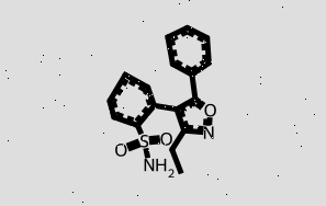 CCc1noc(-c2ccccc2)c1-c1ccccc1S(N)(=O)=O